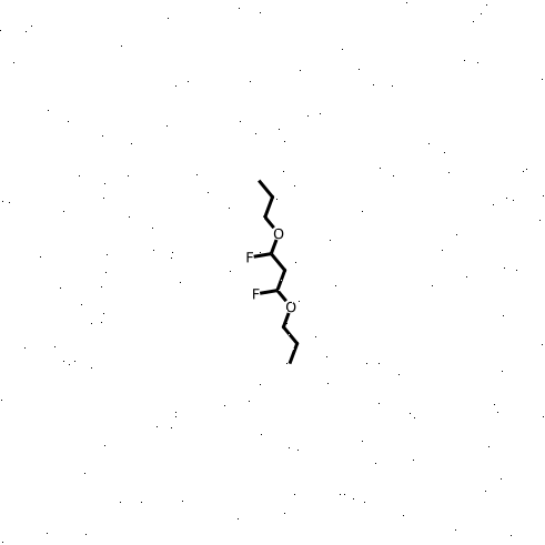 CCCOC(F)CC(F)OCCC